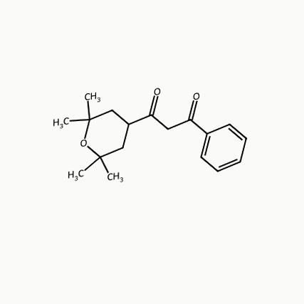 CC1(C)CC(C(=O)CC(=O)c2ccccc2)CC(C)(C)O1